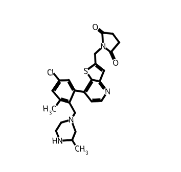 Cc1cc(Cl)cc(-c2ccnc3cc(CN4C(=O)CCC4=O)sc23)c1CN1CCNC(C)C1